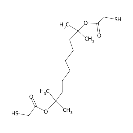 CC(C)(CCCCCCC(C)(C)OC(=O)CS)OC(=O)CS